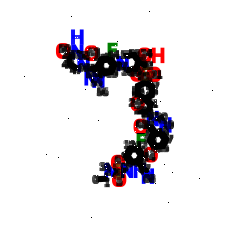 CCN(C)S(=O)(=O)Nc1ccc(F)c(Oc2ccc3ncn([C@H]4COC5(CCC(S(=O)(=O)CC6(O)CCN(c7cc8c(cc7F)c(N7CCC(=O)NC7=O)nn8C)CC6)CC5)C4)c(=O)c3c2)c1C#N